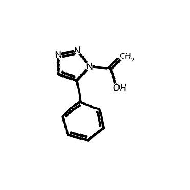 C=C(O)n1nncc1-c1ccccc1